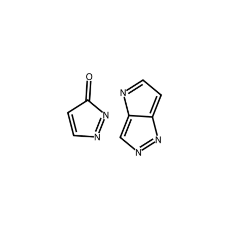 C1=NC2=CN=NC2=C1.O=C1C=CN=N1